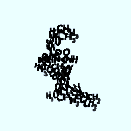 CC(C)(C)OC(=O)/N=C(/NC(=O)OC(C)(C)C)N(CCCNC(=O)OC(C)(C)C)Cc1cnn(C[C@H]2NC(=O)[C@H]2NC(=O)C(=NOC2(C(=O)O)CC2)c2csc(NC(=O)OC(C)(C)C)n2)n1